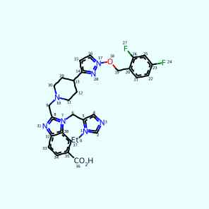 CCn1cncc1Cn1c(CN2CCC(c3ccn(OCc4ccc(F)cc4F)n3)CC2)nc2ccc(C(=O)O)cc21